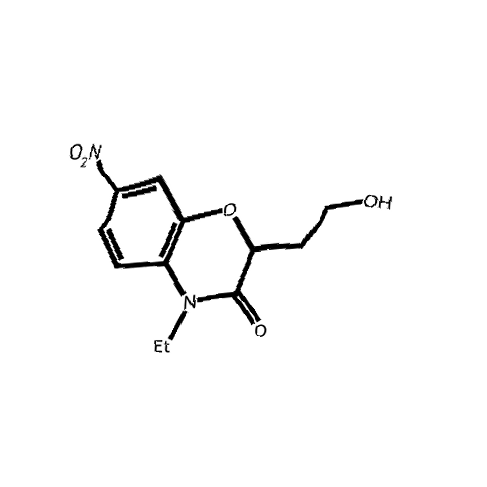 CCN1C(=O)C(CCO)Oc2cc([N+](=O)[O-])ccc21